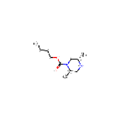 CCCCOC(=O)N1C[C@H](C)NC[C@H]1C